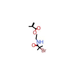 C=C(C)C(=O)OCCNC(=O)C(C)(C)Br